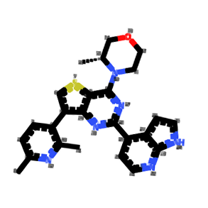 Cc1ccc(-c2csc3c(N4CCOC[C@H]4C)nc(-c4ccnc5[nH]ccc45)nc23)c(C)n1